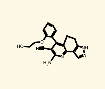 N#Cc1c(N)nc2c(c1-c1ccccc1OCCO)CCc1[nH]ncc1-2